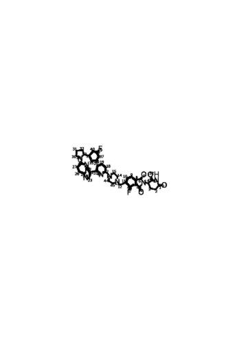 O=C1CCC(N2C(=O)c3ccc(CN4CCN(c5cccc(-c6cnc7ccc(N8CCCC8c8cccc(F)c8)nn67)n5)CC4)c(F)c3C2=O)C(=O)N1